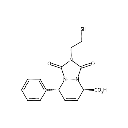 O=C(O)[C@H]1C=C[C@H](c2ccccc2)n2c(=O)n(CCS)c(=O)n21